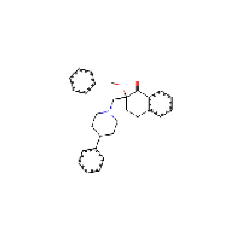 CCOC1(CN2CCC(c3ccccc3)CC2)CCc2ccccc2C1=O.c1ccccc1